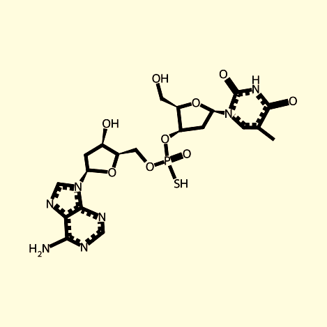 Cc1cn([C@H]2C[C@@H](OP(=O)(S)OC[C@H]3O[C@@H](n4cnc5c(N)ncnc54)C[C@H]3O)[C@@H](CO)O2)c(=O)[nH]c1=O